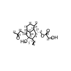 C=C[C@]1(C)C[C@@H](COC(=O)CO)[C@]2(C)C(C)CC[C@](CCC(C)=O)(C[C@@H]1O)C2C